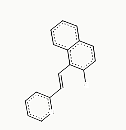 Clc1ccc2ccccc2c1C=Cc1ccccn1